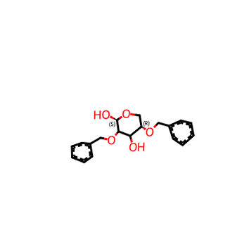 OC1C(OCc2ccccc2)[C@@H](O)OC[C@H]1OCc1ccccc1